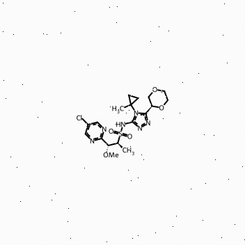 CO[C@H](c1ncc(Cl)cn1)[C@H](C)S(=O)(=O)Nc1nnc([C@H]2COCCO2)n1C1(C)CC1